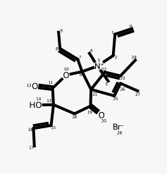 C=CC[N+](C)(C)C1(C=CC)OC(=O)C(O)(C=CC)CC(=O)C1(C=CC)C=CC.[Br-]